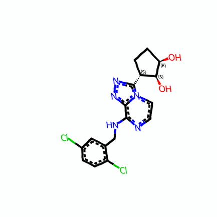 O[C@@H]1[C@H](O)CC[C@H]1c1nnc2c(NCc3cc(Cl)ccc3Cl)nccn12